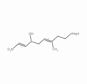 CCCCCCCCC/C(C)=C/CB(O)/C=C/[N+](=O)[O-]